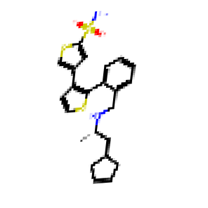 C[C@@H](CC1CCCC1)NCc1ccccc1-c1sccc1-c1csc(S(N)(=O)=O)c1